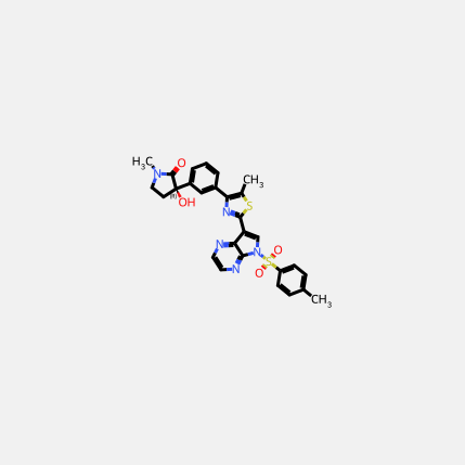 Cc1ccc(S(=O)(=O)n2cc(-c3nc(-c4cccc([C@]5(O)CCN(C)C5=O)c4)c(C)s3)c3nccnc32)cc1